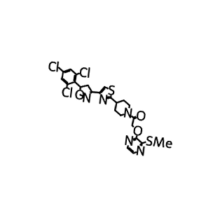 CSc1nccnc1OCC(=O)N1CCC(c2nc(C3=NOC(c4c(Cl)cc(Cl)cc4Cl)C3)cs2)CC1